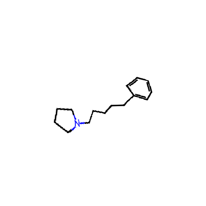 c1ccc(CCCCCN2CCCC2)cc1